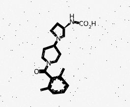 Cc1cccc(C)c1C(=O)N1CCC(N2CC[C@@H](NC(=O)O)C2)CC1